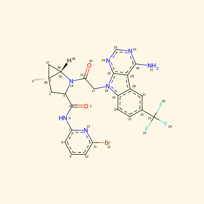 C[C@@]12CC(C(=O)Nc3cccc(Br)n3)N(C(=O)Cn3c4ccc(C(F)(F)F)cc4c4c(N)ncnc43)[C@H]1C2